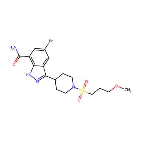 COCCCS(=O)(=O)N1CCC(c2n[nH]c3c(C(N)=O)cc(Br)cc23)CC1